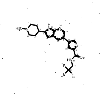 CN1CCC(c2cc3cc(-c4csc(C(=O)NCC(F)(F)F)c4)cnc3[nH]2)CC1